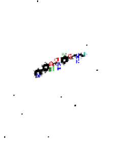 O=C(COc1ccc(-c2cccnc2)cc1Cl)Nc1ccc(OCCNCCF)c(Cl)c1